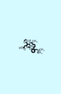 Cc1nc(CC(=O)O)c(C2OCCO2)c(N[C@H](C)c2ccc(-c3ccccc3CN(C)C)s2)n1